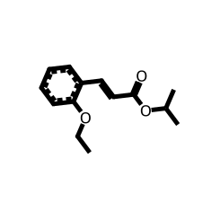 CCOc1ccccc1C=CC(=O)OC(C)C